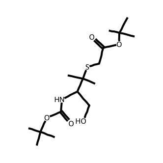 CC(C)(C)OC(=O)CSC(C)(C)C(CO)NC(=O)OC(C)(C)C